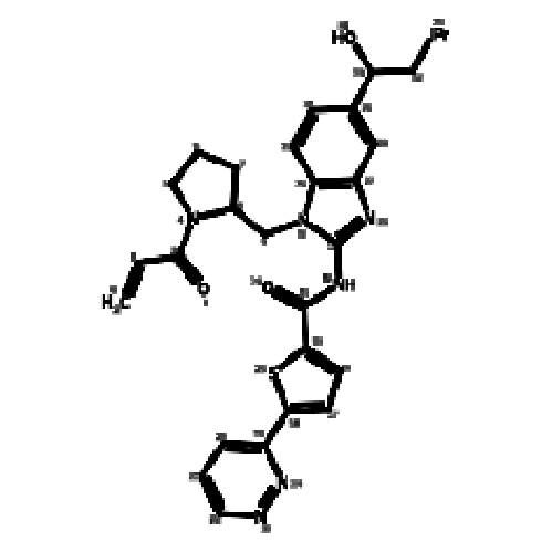 C=CC(=O)N1CCCC1Cn1c(NC(=O)c2ccc(-c3cccnn3)s2)nc2cc(C(O)CC(C)C)ccc21